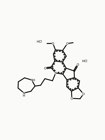 COc1cc2c3c(n(CCCC4CNCCCN4)c(=O)c2cc1OC)-c1cc2c(cc1C3=O)OCO2.Cl.Cl